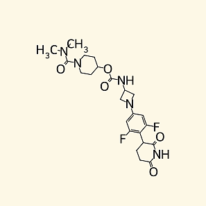 CN(C)C(=O)N1CCC(OC(=O)NC2CN(c3cc(F)c(C4CCC(=O)NC4=O)c(F)c3)C2)CC1